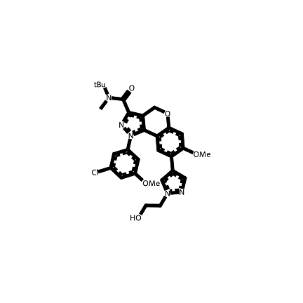 COc1cc(Cl)cc(-n2nc(C(=O)N(C)C(C)(C)C)c3c2-c2cc(-c4cnn(CCO)c4)c(OC)cc2OC3)c1